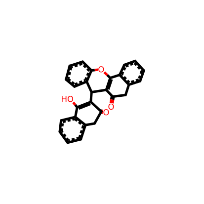 O=C1Cc2ccccc2C(O)=C1C1C2=C(Oc3ccccc31)c1ccccc1CC2=O